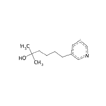 CC(C)(O)CCCCc1c[c]cnc1